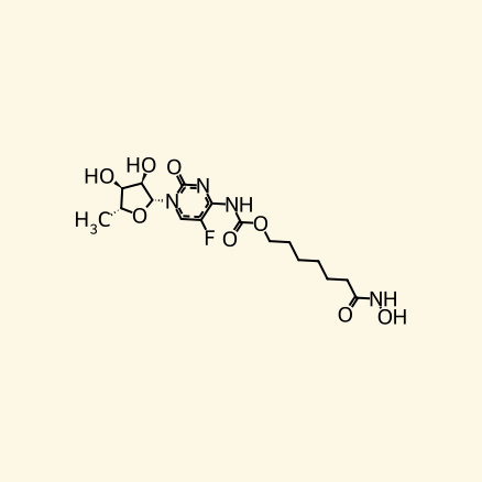 C[C@H]1O[C@@H](n2cc(F)c(NC(=O)OCCCCCCC(=O)NO)nc2=O)[C@H](O)[C@@H]1O